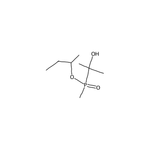 CCC(C)OP(C)(=O)C(C)(C)O